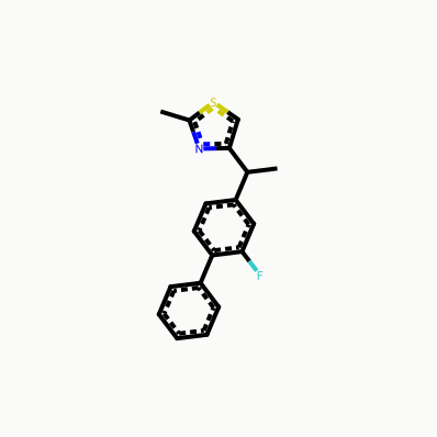 Cc1nc(C(C)c2ccc(-c3ccccc3)c(F)c2)cs1